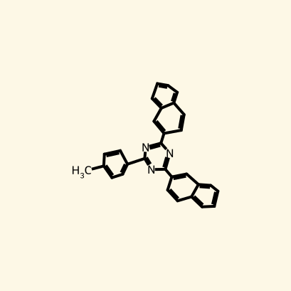 Cc1ccc(-c2nc(-c3ccc4ccccc4c3)nc(-c3ccc4ccccc4c3)n2)cc1